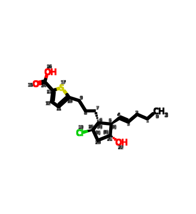 CCCC=C[C@@H]1[C@@H](CCCc2ccc(C(=O)O)s2)[C@H](Cl)C[C@H]1O